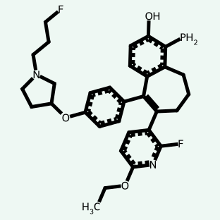 CCOc1ccc(C2=C(c3ccc(OC4CCN(CCCF)C4)cc3)c3ccc(O)c(P)c3CCC2)c(F)n1